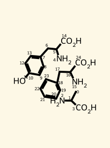 CC(N)C(=O)O.NC(Cc1ccc(O)cc1)C(=O)O.NC(Cc1ccccc1)C(=O)O